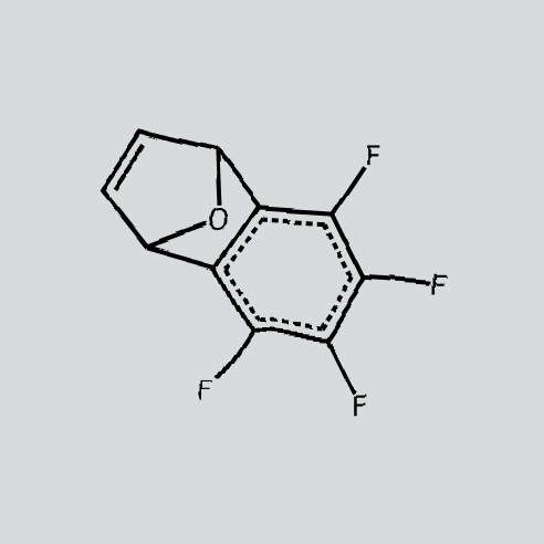 Fc1c(F)c(F)c2c(c1F)C1C=CC2O1